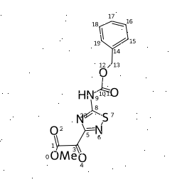 COC(=O)C(=O)c1nsc(NC(=O)OCc2ccccc2)n1